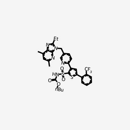 CCCCOC(=O)NS(=O)(=O)c1sc(-c2ccccc2C(F)(F)F)cc1-c1ccc(Cn2c(CC)nc3c(C)cc(C)nc32)cn1